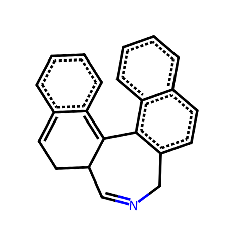 C1=NCc2ccc3ccccc3c2C2=c3ccccc3=CCC12